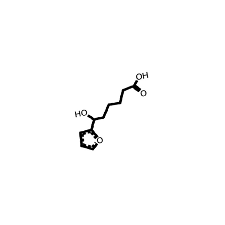 O=C(O)CCCCC(O)c1ccco1